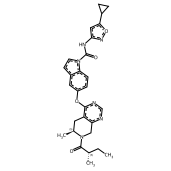 CC[C@H](C)C(=O)N1Cc2ncnc(Oc3ccc4c(ccn4C(=O)Nc4cc(C5CC5)on4)c3)c2C[C@@H]1C